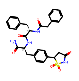 NC(=O)[C@H](Cc1ccc(C2CC(=O)NS2(=O)=O)cc1)NC(=O)[C@H](Cc1ccccc1)NC(=O)Cc1ccccc1